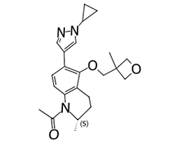 CC(=O)N1c2ccc(-c3cnn(C4CC4)c3)c(OCC3(C)COC3)c2CC[C@@H]1C